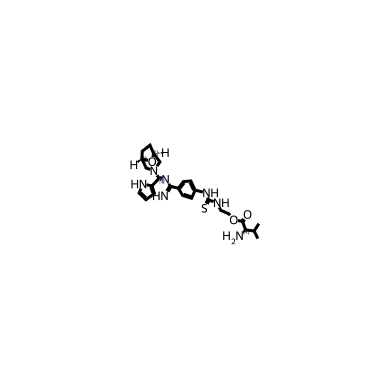 CC(C)[C@@H](N)C(=O)OCCNC(=S)Nc1ccc(C(=N)/N=C(\c2ccc[nH]2)N2C[C@@H]3CC[C@@H](C2)O3)cc1